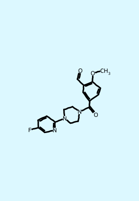 COc1ccc(C(=O)N2CCN(c3ccc(F)cn3)CC2)cc1C=O